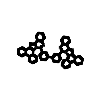 C1=Cc2nc(-c3cccc(-c4cccc(-c5nc6ccccc6c6nc7c8ccccc8c8ccccc8c7n56)c4)c3)n3c(nc4c5ccccc5c5ccccc5c43)c2CC1